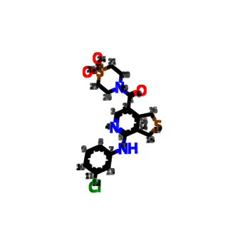 O=C(c1cnc(Nc2cccc(Cl)c2)c2c1CSC2)N1CCS(=O)(=O)CC1